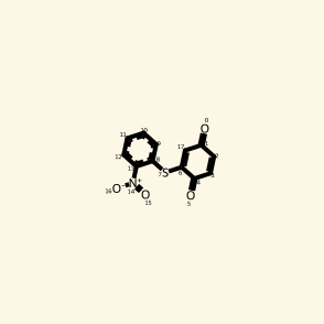 O=C1C=CC(=O)C(Sc2ccccc2[N+](=O)[O-])=C1